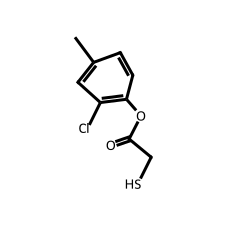 Cc1ccc(OC(=O)CS)c(Cl)c1